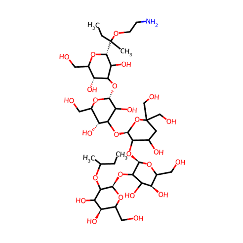 CCC(C)OC1C(O)[C@H](O)C(CO)O[C@@H]1OC1C(O)[C@H](O)C(CO)O[C@@H]1OC1C(O)CC(CO)(CO)O[C@@H]1OC1C(O)[C@@H](OC2C(O)[C@@H](C(C)(CC)OCCN)OC(CO)[C@H]2O)OC(CO)[C@H]1O